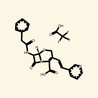 O=C(Cc1ccccc1)NC1C(=O)N2C(C(=O)O)=C(C=Cc3cccnc3)CS[C@@H]12.O=C(O)C(F)(F)F